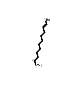 CCCCC=CCCCCCCCCCCCCCCCC